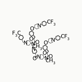 CN(C(=O)c1cc2cc(OC3CCN(c4ccc(C(F)(F)F)cc4)CC3)ccc2o1)C1CCN(C(=O)c2ccncc2)CC1.CN(C(=O)c1cc2cc(OC3CCN(c4ccc(C(F)(F)F)cc4)CC3)ccc2o1)C1CCN(Cc2ccc(C(F)(F)F)cc2)CC1